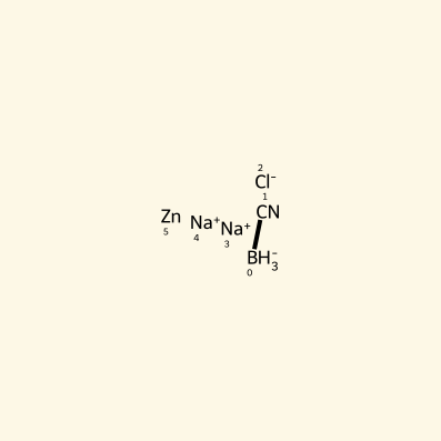 [BH3-]C#N.[Cl-].[Na+].[Na+].[Zn]